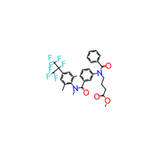 COC(=O)CCCN(C(=O)c1ccccc1)c1cccc(C(=O)N(C)c2c(C)cc(C(F)(C(F)(F)F)C(F)(F)F)cc2C)c1